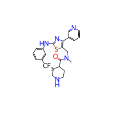 CN(Cc1sc(Nc2cccc(C(F)(F)F)c2)nc1-c1cccnc1)C(=O)C1CCNCC1